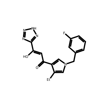 CCc1cn(Cc2cccc(F)c2)cc1C(=O)C=C(O)c1nn[nH]n1